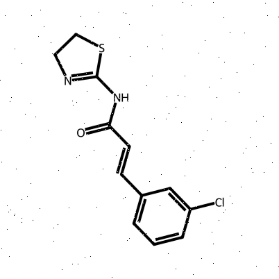 O=C(/C=C/c1cccc(Cl)c1)NC1=NCCS1